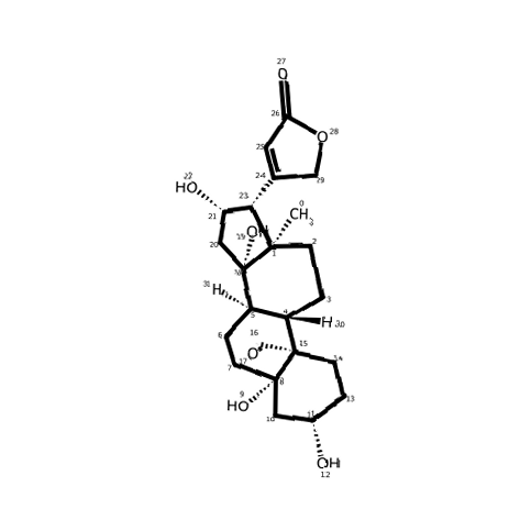 C[C@]12CC[C@H]3[C@@H](CC[C@]4(O)C[C@@H](O)CC[C@]34C=O)[C@@]1(O)C[C@H](O)[C@@H]2C1=CC(=O)OC1